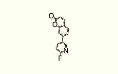 O=c1ccc2ccc(-c3ccc(F)nc3)cc2o1